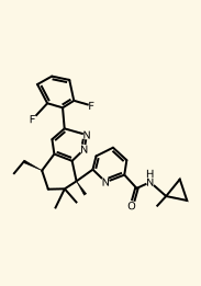 CC[C@@H]1CC(C)(C)[C@@](C)(c2cccc(C(=O)NC3(C)CC3)n2)c2nnc(-c3c(F)cccc3F)cc21